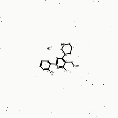 Cl.Nc1nc(-c2ccccc2O)cc(C2CCCNC2)c1CC=O